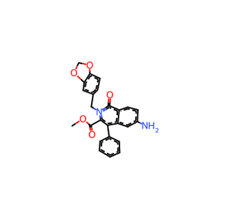 COC(=O)c1c(-c2ccccc2)c2cc(N)ccc2c(=O)n1Cc1ccc2c(c1)OCO2